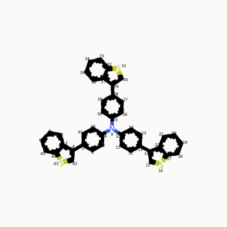 c1ccc2c(-c3ccc(N(c4ccc(-c5csc6ccccc56)cc4)c4ccc(-c5csc6ccccc56)cc4)cc3)csc2c1